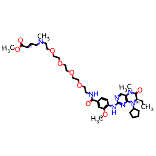 CC[C@@H]1C(=O)N(C)c2cnc(Nc3ccc(C(=O)NCCOCCOCCOCCOCCN(C)C/C=C/C(=O)OC)cc3OC)nc2N1C1CCCC1